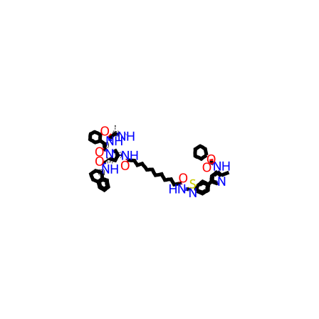 CN[C@@H](C)C(=O)N[C@H](C(=O)N1C[C@@H](NC(=O)CCCCCCCCCCC(=O)Nc2nc3ccc(-c4cnc(C)c(NC(=O)OC5CCCCC5)c4)cc3s2)C[C@H]1C(=O)N[C@@H]1CCCc2ccccc21)C1CCCCC1